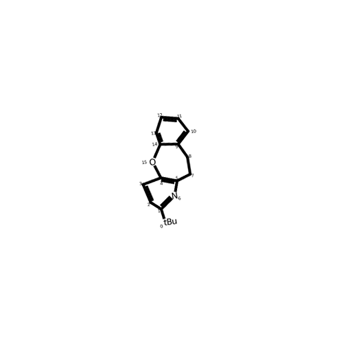 CC(C)(C)c1ccc2c(n1)CCc1ccccc1O2